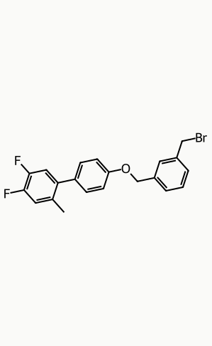 Cc1cc(F)c(F)cc1-c1ccc(OCc2cccc(CBr)c2)cc1